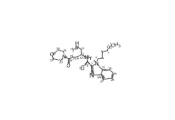 COCCCCn1c(C(=O)N[C@@H]2CNC[C@H](C(=O)N3CCOCC3)C2)nc2ccccc21